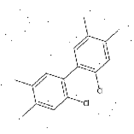 Cc1cc(Cl)c(-c2cc(C)c(C)cc2Cl)cc1C